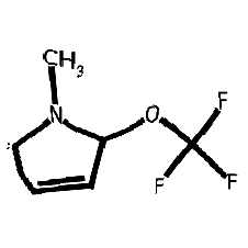 CN1[C]C=CC1OC(F)(F)F